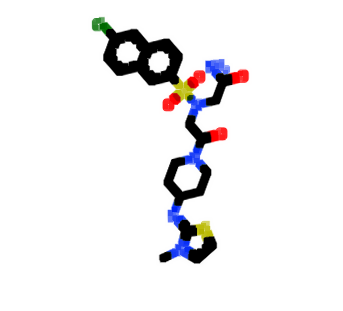 Cn1ccs/c1=N\C1CCN(C(=O)CN(CC(N)=O)S(=O)(=O)c2ccc3cc(Cl)ccc3c2)CC1